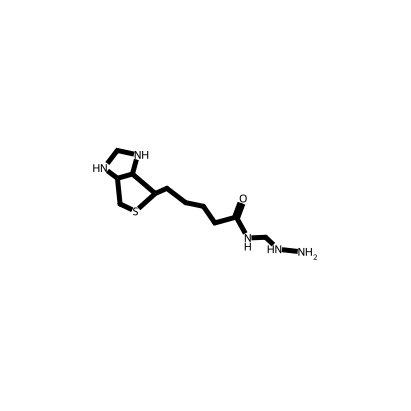 NNCNC(=O)CCCCC1SCC2NCNC21